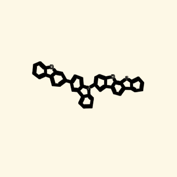 c1ccc2c(c1)oc1cc(-c3ccc4c(c3)c3ccccc3n4-c3ccc4oc5c(ccc6c7ccccc7sc65)c4c3)ccc12